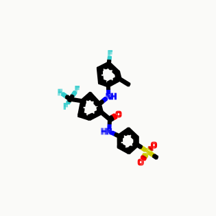 Cc1cc(F)ccc1Nc1cc(C(F)(F)F)ccc1C(=O)Nc1ccc(S(C)(=O)=O)cc1